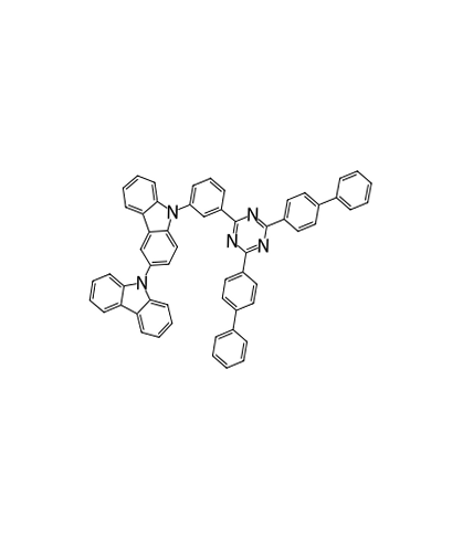 c1ccc(-c2ccc(-c3nc(-c4ccc(-c5ccccc5)cc4)nc(-c4cccc(-n5c6ccccc6c6cc(-n7c8ccccc8c8ccccc87)ccc65)c4)n3)cc2)cc1